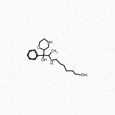 CCCCCCCCCCCCCCCCNC(C)C(O)(c1ccccc1)C1CNCCO1